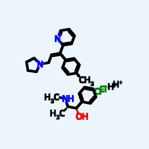 CN[C@@H](C)[C@@H](O)c1ccccc1.Cc1ccc(/C(=C\CN2CCCC2)c2ccccn2)cc1.[Cl-].[Cl-].[H+].[H+]